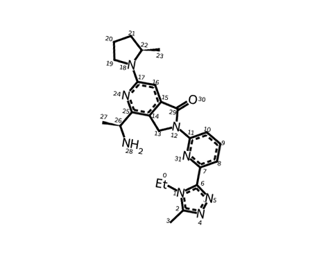 CCn1c(C)nnc1-c1cccc(N2Cc3c(cc(N4CCC[C@H]4C)nc3[C@H](C)N)C2=O)n1